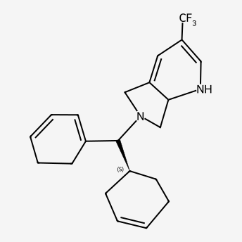 FC(F)(F)C1=CNC2CN(C(C3=CC=CCC3)[C@@H]3CC=CCC3)CC2=C1